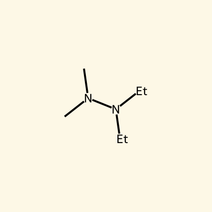 CCN(CC)N(C)C